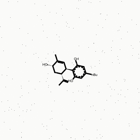 C=C(C)[C@@H]1C[C@H](O)C(C)=C[C@H]1c1c(O)cc(CCCC)cc1O